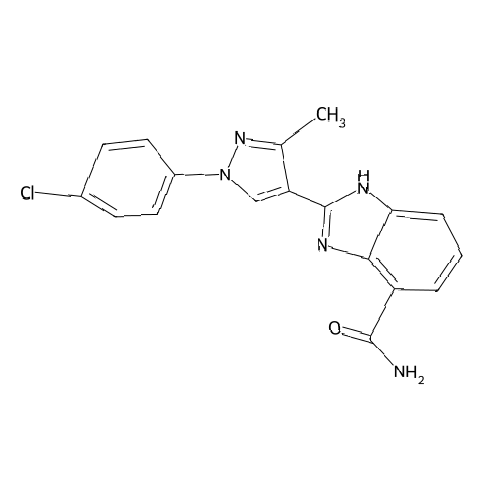 Cc1nn(-c2ccc(Cl)cc2)cc1-c1nc2c(C(N)=O)cccc2[nH]1